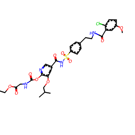 CCOC(=O)CNC(=O)Oc1ncc(C(=O)NS(=O)(=O)c2ccc(CCNC(=O)c3cc(OC)ccc3Cl)cc2)cc1OCC(C)C